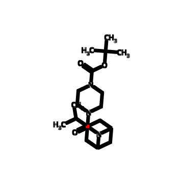 CC(C)N1CC2CC(C1)N2C(=O)N1CCN(C(=O)OC(C)(C)C)CC1